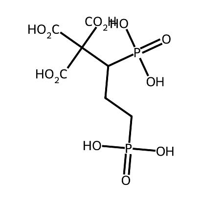 O=C(O)C(C(=O)O)(C(=O)O)C(CCP(=O)(O)O)P(=O)(O)O